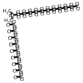 CCOCC.ClC(Cl)Cl.ClC(Cl)Cl.ClC(Cl)Cl.ClC(Cl)Cl.ClC(Cl)Cl.ClC(Cl)Cl.ClC(Cl)Cl.ClC(Cl)Cl.ClC(Cl)Cl.ClC(Cl)Cl.ClC(Cl)Cl.ClC(Cl)Cl.ClC(Cl)Cl.ClC(Cl)Cl.ClC(Cl)Cl.ClC(Cl)Cl.ClC(Cl)Cl.ClC(Cl)Cl.ClC(Cl)Cl.ClC(Cl)Cl